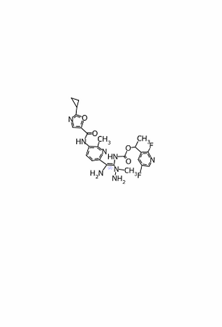 Cc1nc(/C(N)=C(\NC(=O)OC(C)c2cc(F)cnc2F)N(C)N)ccc1NC(=O)c1cnc(C2CC2)o1